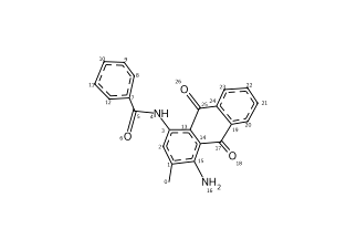 Cc1cc(NC(=O)c2ccccc2)c2c(c1N)C(=O)c1ccccc1C2=O